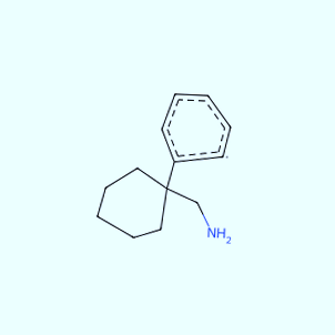 NCC1(c2[c]cccc2)CCCCC1